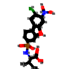 CC(C)[C@H](NS(=O)(=O)c1ccc2c(c1)oc1cc([N+](=O)[O-])c(Br)cc12)C(=O)O